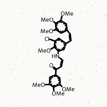 COc1cc(/C=C\c2cc(Cl)c(OC)c(N/C=C\C(=O)c3cc(OC)c(OC)c(OC)c3)c2)cc(OC)c1OC